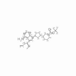 C=CS/C(=N\C)c1cn(C2CCC(C3CCCN(C(=O)OC(C)(C)C)C3)C2)c2ncnc(N)c12